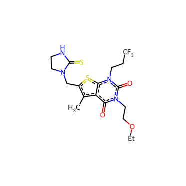 CCOCCn1c(=O)c2c(C)c(CN3CCNC3=S)sc2n(CCC(F)(F)F)c1=O